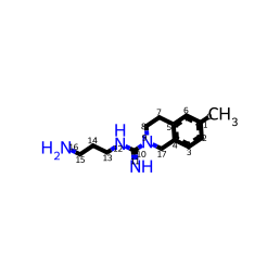 Cc1ccc2c(c1)CCN(C(=N)NCCCN)C2